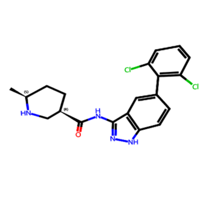 C[C@H]1CC[C@@H](C(=O)Nc2n[nH]c3ccc(-c4c(Cl)cccc4Cl)cc23)CN1